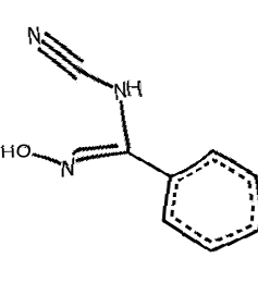 N#CNC(=NO)c1ccccc1